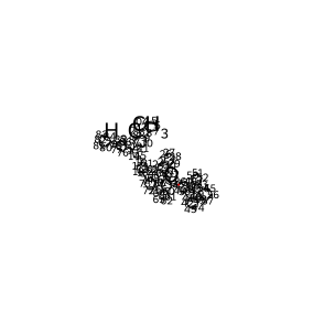 CC1(C)c2ccccc2-c2ccc(C(CCc3ccc4c(c3)C(c3cc5ccccc5c5oc6c(-c7ccc8c(c7)-c7ccccc7C87c8ccccc8-c8ccccc87)c7ccccc7cc6c35)c3ccccc3-4)c3ccc(-c4ccccc4)cc3)cc21